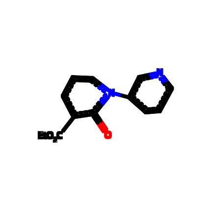 CCOC(=O)c1cccn(-c2cccnc2)c1=O